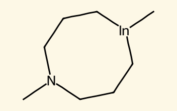 CN1CC[CH2][In]([CH3])[CH2]CC1